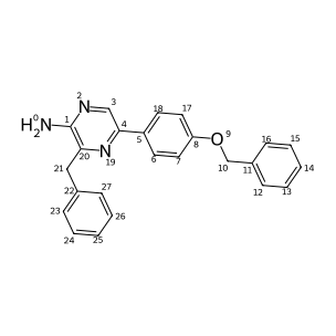 Nc1ncc(-c2ccc(OCc3ccccc3)cc2)nc1Cc1ccccc1